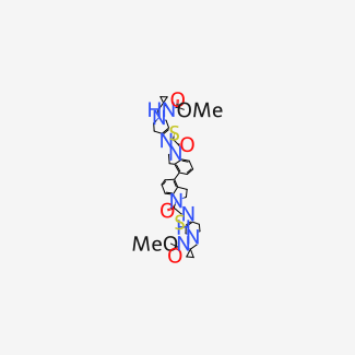 COC(=O)NC1(CN2CCc3nc(C(=O)N4CCc5c(-c6cccc7c6CCN7C(=O)c6nc7c(s6)CN(CC6(NC(=O)OC)CC6)CC7)cccc54)sc3C2)CC1